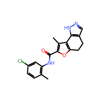 Cc1ccc(Cl)cc1NC(=O)c1oc2c(c1C)-c1[nH]ncc1CC2